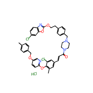 Cc1ccc(COc2ccc(Oc3c(C)cc(C=CC(=O)N4CCN(Cc5ccc(CCOc6nc7ccc(Cl)cc7o6)cc5)CC4)cc3Cl)nc2)cc1.Cl